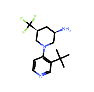 CC(C)(C)c1cnccc1N1C[C@H](N)C[C@H](C(F)(F)F)C1